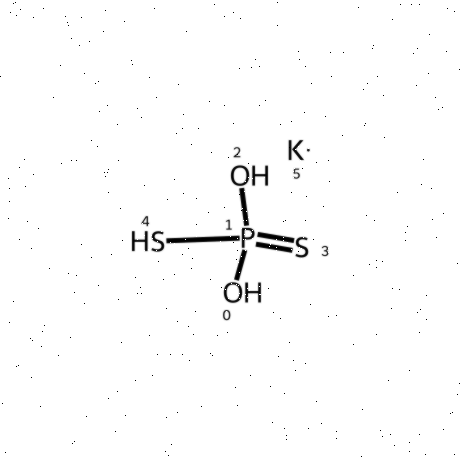 OP(O)(=S)S.[K]